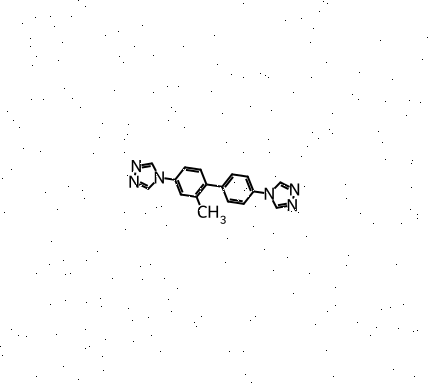 Cc1cc(-n2cnnc2)ccc1-c1ccc(-n2cnnc2)cc1